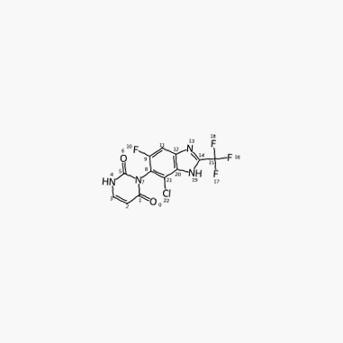 O=c1cc[nH]c(=O)n1-c1c(F)cc2nc(C(F)(F)F)[nH]c2c1Cl